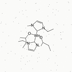 CCC(C)[O][Mn]([O]C(C)CC)([CH]1N(C)C=CN1CC)[CH]1N(C)C=CN1CC